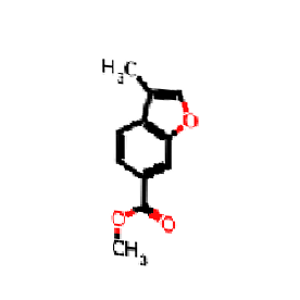 COC(=O)c1ccc2c(C)coc2c1